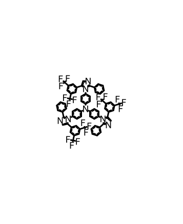 FC(F)(F)c1cc(-c2cnc(-c3ccccc3)n2-c2ccc(N(c3ccc(-n4c(-c5cc(C(F)(F)F)cc(C(F)(F)F)c5)cnc4-c4ccccc4)cc3)c3ccc(-n4c(-c5cc(C(F)(F)F)cc(C(F)(F)F)c5)cnc4-c4ccccc4)cc3)cc2)cc(C(F)(F)F)c1